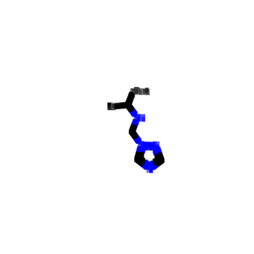 CCCCCC(CC)NCn1cncn1